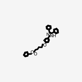 O=C(CCCCCOc1ccc(-c2nc(-c3ccccc3)c(-c3ccccc3)[nH]2)cc1)OCc1ccccc1